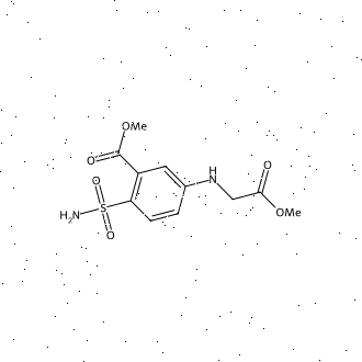 COC(=O)CNc1ccc(S(N)(=O)=O)c(C(=O)OC)c1